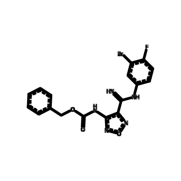 N=C(Nc1ccc(F)c(Br)c1)c1nonc1NC(=O)OCc1ccccc1